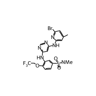 CNS(=O)(=O)c1ccc(OCC(F)(F)F)c(Nc2cc(Nc3cc(C)cc(Br)n3)ncn2)c1